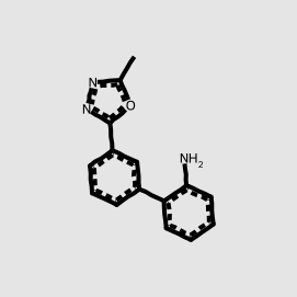 Cc1nnc(-c2cccc(-c3ccccc3N)c2)o1